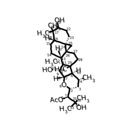 CC(=O)O[C@@H]([C@H]1C[C@@H](C)[C@H]2[C@H](O1)[C@H](O)[C@@]1(C)[C@@H]3CC[C@@H]4C(C)(C)C(O)CC[C@@]45C[C@@]35CC[C@]21C)C(C)(C)O